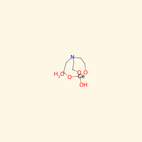 O.[OH][Ge]12[O]CCN(CC[O]1)CC[O]2